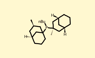 CCCCP(C12CCC[C@@H](C[C@@H](C)C1)C2)[C@@]1(C)C[C@@H]2CCC[C@@H](C2)C1